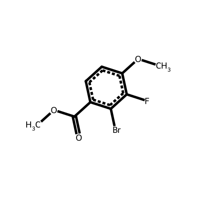 COC(=O)c1ccc(OC)c(F)c1Br